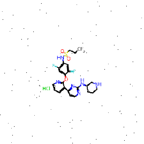 Cl.O=S(=O)(CCC(F)(F)F)Nc1cc(F)c(Oc2ncccc2-c2ccnc(NC3CCCNC3)n2)cc1F